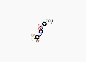 O=C(O)c1ccc(N2CC3(CCN(Cc4cc(Br)c(Cl)c(Br)c4)CC3)OC2=O)cc1